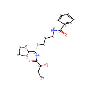 CC(C)C[C@H](O)C(=O)N[C@@H](CCCCNC(=O)c1ccccc1)C1OCCO1